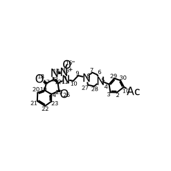 CC(=O)c1ccc(N2CCN(CCn3c4c(n[n+]3[O-])C(=O)c3ccccc3C4=O)CC2)cc1